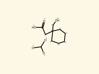 ClC(Cl)Cl.O=C(O)CC1(CO)CCCCC1